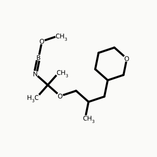 COB=NC(C)(C)OCC(C)CC1CCCOC1